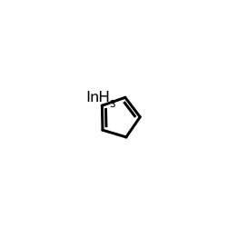 C1=CCC=C1.[InH3]